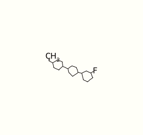 C=CC1CCC(C2CCC(C3CCCC(F)C3)CC2)CC1